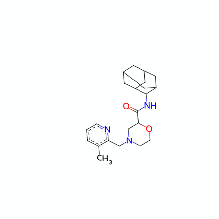 Cc1cccnc1CN1CCOC(C(=O)NC2C3CC4CC(C3)CC2C4)C1